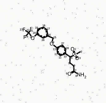 CS(=O)(=O)C(CCC(N)=O)c1ccc(OCc2cccc(OC(F)(F)F)c2)cc1